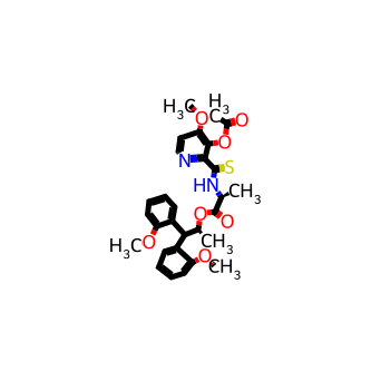 COc1ccccc1C(c1ccccc1OC)[C@H](C)OC(=O)[C@H](C)NC(=S)c1nccc(OC)c1OC(C)=O